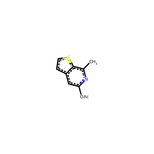 CC(=O)Oc1cc2ccsc2c(C)n1